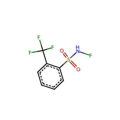 O=S(=O)(NF)c1ccccc1C(F)(F)F